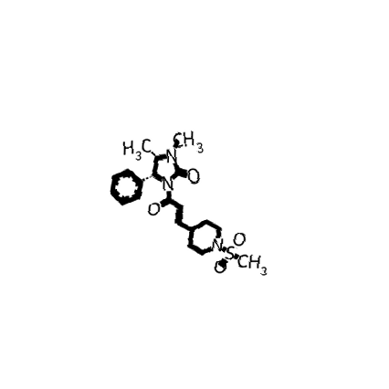 C[C@H]1[C@@H](c2ccccc2)N(C(=O)/C=C/C2CCN(S(C)(=O)=O)CC2)C(=O)N1C